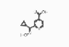 O=C(O)c1ccnc(/C(=N/O)C2CC2)c1